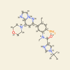 Cc1cc(P)c(N(C)C(=O)c2cn(C(C)(C)C)cn2)cc1-c1cc(N2CCOCC2)c2nccn2n1